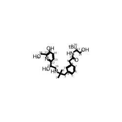 CC(C)(Cc1cccc(CC(=O)N[C@H](CO)C(C)(C)C)c1)NCC(O)c1ccc(O)c(CO)n1